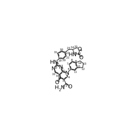 NC(=O)c1cn(-c2ccc3c(c2)CCC3)c2nc(Nc3ccc(CC4COC(=O)N4)cc3)ncc2c1=O